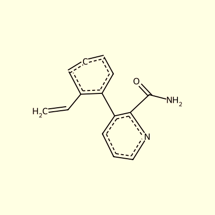 C=Cc1ccccc1-c1cccnc1C(N)=O